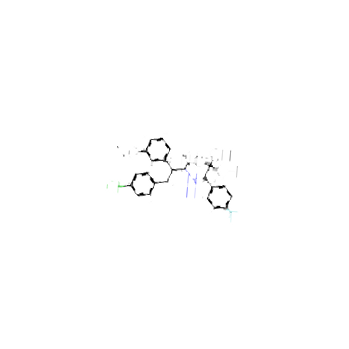 CC(N[C@@H](c1ccc(F)cc1)C(C)(C)C#N)C(Cc1ccc(Cl)cc1)c1cccc(C#N)c1